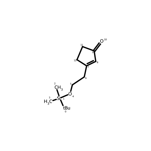 CC(C)(C)[Si](C)(C)OCCC1=CC(=O)CC1